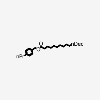 CCCCCCCCCCCCCCCCCCCC(=O)OCc1ccc(CCC)cc1